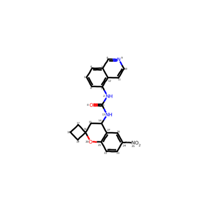 O=C(Nc1cccc2cnccc12)NC1CC2(CCC2)Oc2ccc([N+](=O)[O-])cc21